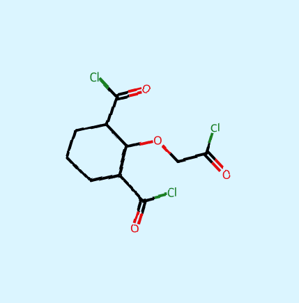 O=C(Cl)COC1C(C(=O)Cl)CCCC1C(=O)Cl